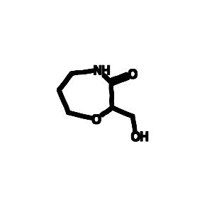 O=C1NCCCOC1CO